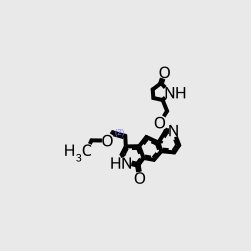 CCO/C=C\c1c[nH]c(=O)c2cc3ccnc(OCC4CCC(=O)N4)c3cc12